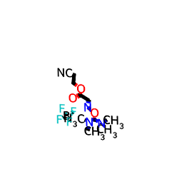 CN(C)C(ON=CC(=O)OCCC#N)=[N+](C)C.F[B-](F)(F)F